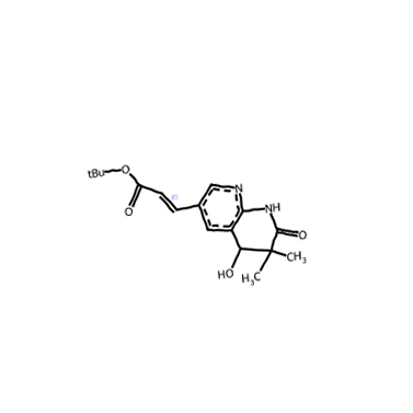 CC(C)(C)OC(=O)/C=C/c1cnc2c(c1)C(O)C(C)(C)C(=O)N2